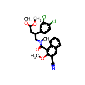 COc1c(C#N)cc2ccccc2c1C(=O)N(C)CC(CC(OC)OC)c1ccc(Cl)c(Cl)c1